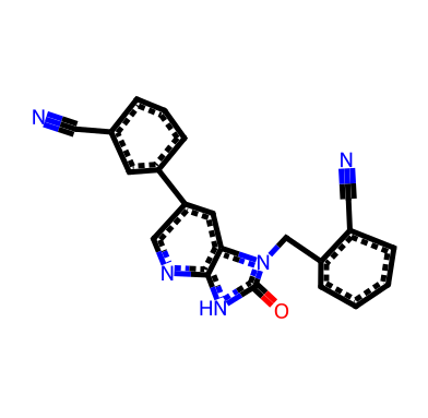 N#Cc1cccc(-c2cnc3[nH]c(=O)n(Cc4ccccc4C#N)c3c2)c1